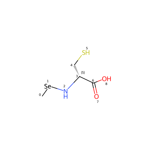 C[Se]N[C@H](CS)C(=O)O